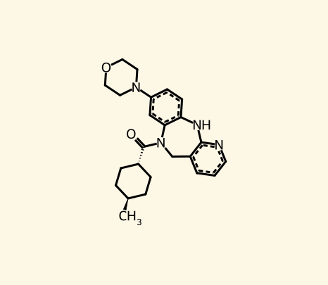 C[C@H]1CC[C@H](C(=O)N2Cc3cccnc3Nc3ccc(N4CCOCC4)cc32)CC1